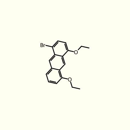 CCOc1cccc2cc3c(Br)ccc(OCC)c3cc12